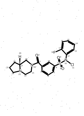 O=C(c1cccc(S(=O)(=O)N(Cl)c2ccccc2F)c1)N1CCN2CCC[C@@H]2C1